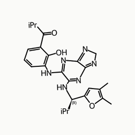 Cc1cc([C@H](Nc2nc3c(nc2Nc2cccc(C(=O)C(C)C)c2O)=NCN=3)C(C)C)oc1C